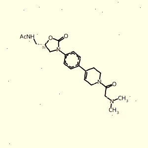 CC(=O)NC[C@H]1CN(c2ccc(C3=CCN(C(=O)CN(C)C)CC3)cc2)C(=O)O1